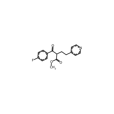 COC(=O)C(CCc1ccncc1)C(=O)c1ccc(F)cc1